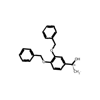 [CH2][C@@H](O)c1ccc(OCc2ccccc2)c(OCc2ccccc2)c1